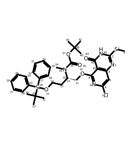 CSc1nc2cc(Cl)nc(OC[C@H](CCO[Si](c3ccccc3)(c3ccccc3)C(C)(C)C)N(C)C(=O)OC(C)(C)C)c2c(=O)[nH]1